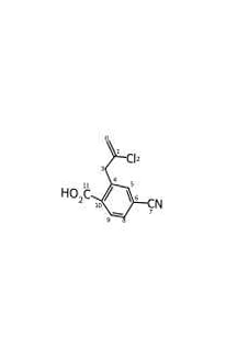 C=C(Cl)Cc1cc(C#N)ccc1C(=O)O